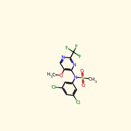 COc1cnc(C(F)(F)F)nc1N(c1cc(Cl)cc(Cl)c1)S(C)(=O)=O